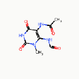 CC(=O)Nc1c(NC=O)n(C)c(=O)[nH]c1=O